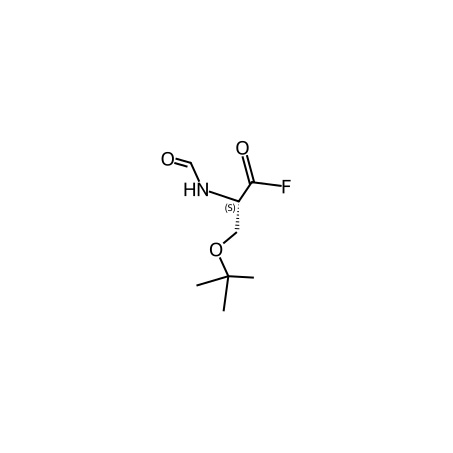 CC(C)(C)OC[C@H](NC=O)C(=O)F